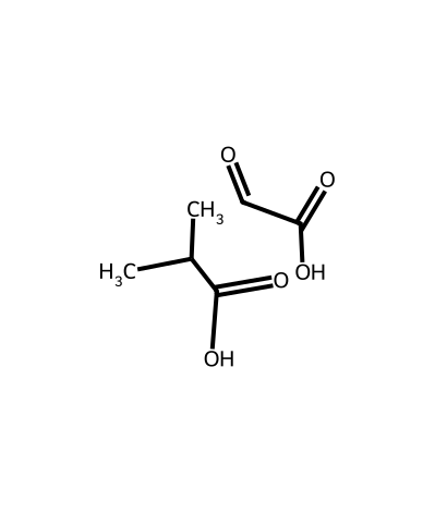 CC(C)C(=O)O.O=CC(=O)O